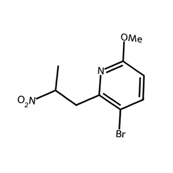 COc1ccc(Br)c(CC(C)[N+](=O)[O-])n1